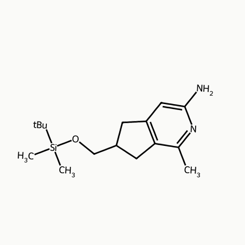 Cc1nc(N)cc2c1CC(CO[Si](C)(C)C(C)(C)C)C2